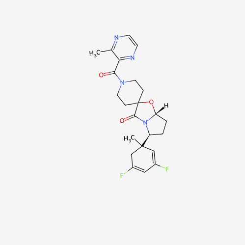 Cc1nccnc1C(=O)N1CCC2(CC1)O[C@@H]1CC[C@@H](C3(C)C=C(F)C=C(F)C3)N1C2=O